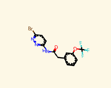 O=C(Cc1cccc(OC(F)(F)F)c1)Nc1ccc(Br)nn1